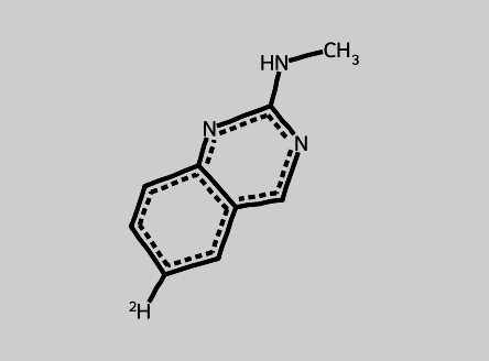 [2H]c1ccc2nc(NC)ncc2c1